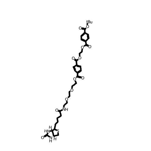 CC(C)(C)OC(=O)c1ccc(C(=O)OCCOC(=O)c2ccc(C(=O)OCCOCCOCCNC(=O)CCCCC3SC[C@@H]4NC(=O)N[C@H]34)cc2)cc1